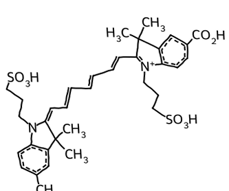 Cc1ccc2c(c1)C(C)(C)\C(=C/C=C/C=C/C=C/C1=[N+](CCCS(=O)(=O)O)c3ccc(C(=O)O)cc3C1(C)C)N2CCCS(=O)(=O)O